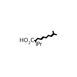 CC(C)=CCCC=CCC(C(=O)O)C(C)C